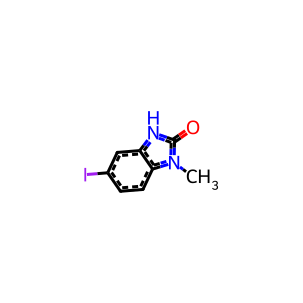 Cn1c(=O)[nH]c2cc(I)ccc21